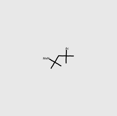 CNC(C)(C)CC(C)(C)C(C)=O